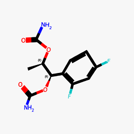 C[C@@H](OC(N)=O)[C@H](OC(N)=O)c1ccc(F)cc1F